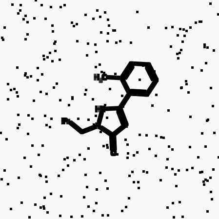 Cc1ccccc1-c1cc(=O)n(CC(C)C)[nH]1